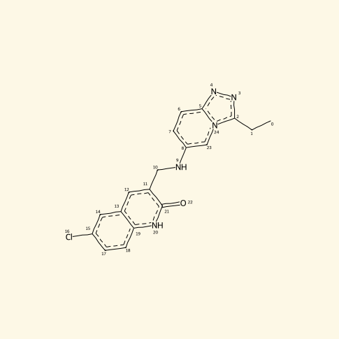 CCc1nnc2ccc(NCc3cc4cc(Cl)ccc4[nH]c3=O)cn12